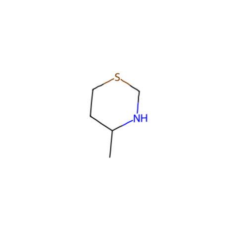 CC1CCSCN1